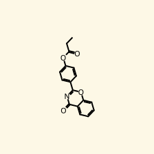 CCC(=O)Oc1ccc(-c2nc(=O)c3ccccc3o2)cc1